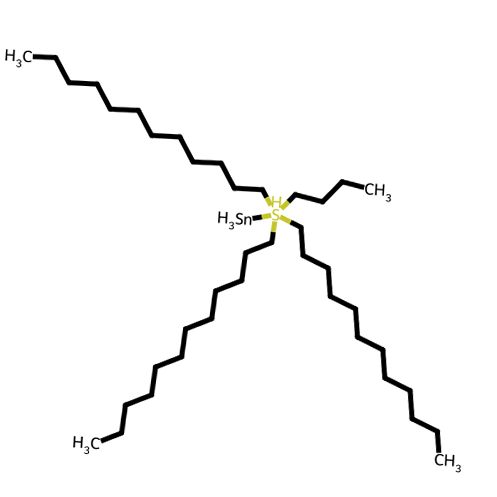 CCCCCCCCCCCC[SH]([SnH3])(CCCC)(CCCCCCCCCCCC)CCCCCCCCCCCC